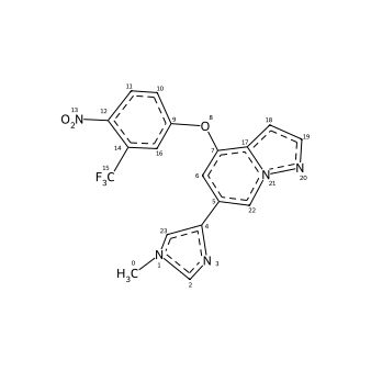 Cn1cnc(-c2cc(Oc3ccc([N+](=O)[O-])c(C(F)(F)F)c3)c3ccnn3c2)c1